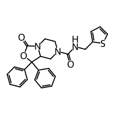 O=C(NCc1cccs1)N1CCN2C(=O)OC(c3ccccc3)(c3ccccc3)C2C1